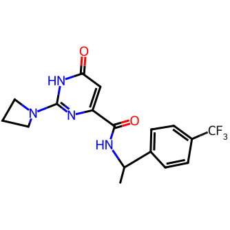 CC(NC(=O)c1cc(=O)[nH]c(N2CCC2)n1)c1ccc(C(F)(F)F)cc1